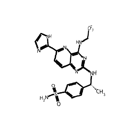 C[C@@H](Nc1nc(NCC(F)(F)F)c2nc(-c3ncc[nH]3)ccc2n1)c1ccc(S(N)(=O)=O)cc1